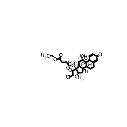 CCOC(=O)CCC(=O)O[C@]1(C(=O)CCl)[C@H](C)C[C@H]2[C@@H]3CCC4=CC(=O)C=C[C@]4(C)[C@@]3(F)[C@@H](O)C[C@@]21C